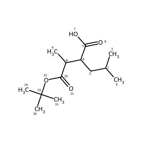 CC(C)CC(C(=O)O)C(C)C(=O)OC(C)(C)C